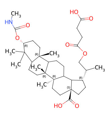 CNC(=O)O[C@@H]1CC[C@@]2(C)C(CC[C@]3(C)C2CCC2C4[C@H](C(C)COC(=O)CCC(=O)O)CC[C@]4(C(=O)O)CC[C@]23C)C1(C)C